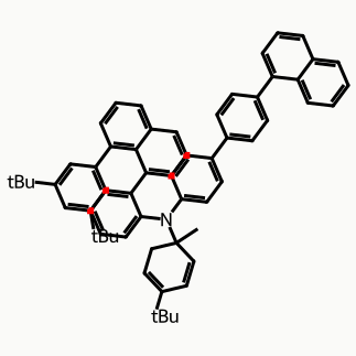 CC(C)(C)C1=CCC(C)(N(c2ccc(-c3ccc(-c4cccc5ccccc45)cc3)cc2)c2ccccc2-c2cccc3cccc(-c4cc(C(C)(C)C)cc(C(C)(C)C)c4)c23)C=C1